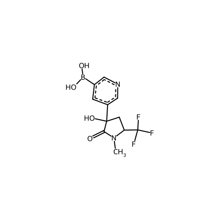 CN1C(=O)C(O)(c2cncc(B(O)O)c2)CC1C(F)(F)F